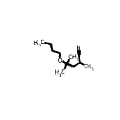 CCCCOC(C)(C)CC(C)C#N